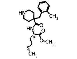 COC(=O)[C@H](CCSC)NC(=O)C1(Cc2ccccc2C)CCNCC1